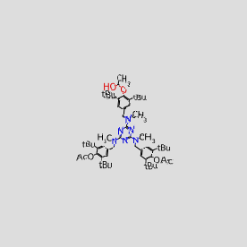 CC(=O)Oc1c(C(C)(C)C)cc(CN(C)c2nc(N(C)Cc3cc(C(C)(C)C)c(OC(C)=O)c(C(C)(C)C)c3)nc(N(C)Cc3cc(C(C)(C)C)c(OC(C)O)c(C(C)(C)C)c3)n2)cc1C(C)(C)C